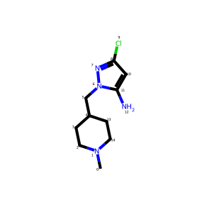 CN1CCC(Cn2nc(Cl)cc2N)CC1